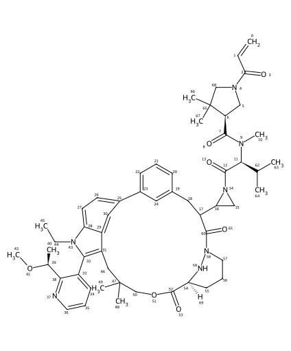 C=CC(=O)N1C[C@@H](C(=O)N(C)[C@H](C(=O)N2CC2C2Cc3cccc(c3)-c3ccc4c(c3)c(c(-c3cccnc3[C@H](C)OC)n4CC)CC(C)(C)COC(=O)[C@@H]3CCCN(N3)C2=O)C(C)C)C(C)(C)C1